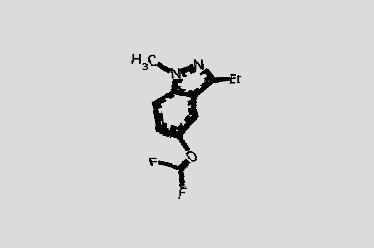 CCc1nn(C)c2ccc(OC(F)F)cc12